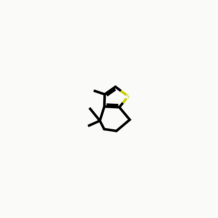 Cc1csc2c1C(C)(C)CCC2